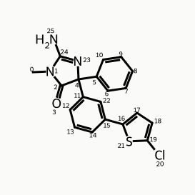 CN1C(=O)C(c2ccccc2)(c2cccc(-c3ccc(Cl)s3)c2)N=C1N